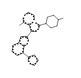 Nc1nccn2c(C3CCC(C(=O)O)CC3)nc(-c3cc4cccc(-c5cccs5)c4[nH]3)c12